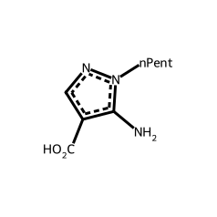 CCCCCn1ncc(C(=O)O)c1N